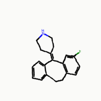 Fc1ccc2c(c1)C(=C1CCNCC1)c1ccccc1CC2